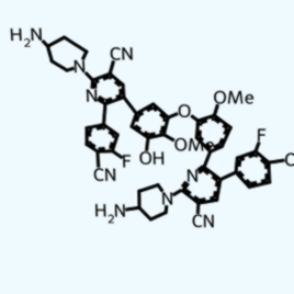 COc1ccc(-c2nc(N3CCC(N)CC3)c(C#N)cc2-c2ccc(C#N)c(F)c2)cc1Oc1cc(-c2cc(C#N)c(N3CCC(N)CC3)nc2-c2ccc(C#N)c(F)c2)cc(O)c1OC